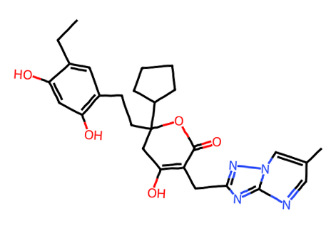 CCc1cc(CCC2(C3CCCC3)CC(O)=C(Cc3nc4ncc(C)cn4n3)C(=O)O2)c(O)cc1O